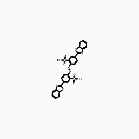 O=S(=O)(O)c1cc(-c2nc3ccccc3s2)ccc1/N=N/c1ccc(-c2nc3ccccc3s2)cc1S(=O)(=O)O